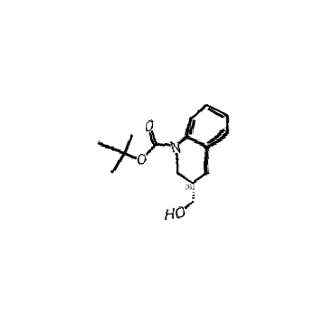 CC(C)(C)OC(=O)N1C[C@@H](CO)Cc2ccccc21